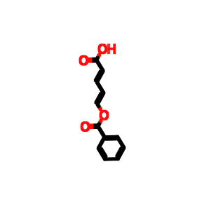 O=C(O)C=CC=COC(=O)c1ccccc1